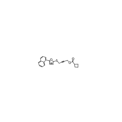 O=C(OCC#CCSc1nnc(-c2cccc3ccccc23)o1)C1CCC1